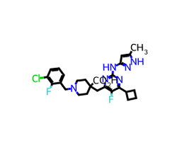 Cc1cc(Nc2nc(CC3(C(=O)O)CCN(Cc4cccc(Cl)c4F)CC3)c(F)c(C3CCC3)n2)n[nH]1